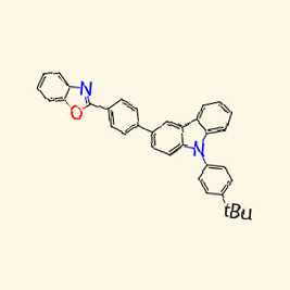 CC(C)(C)c1ccc(-n2c3ccccc3c3cc(-c4ccc(-c5nc6ccccc6o5)cc4)ccc32)cc1